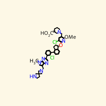 COc1nc(O[C@H]2CCc3c(-c4cccc(-c5cnc6c(CN7CC8(CCNC8)C7)cn(C)c6n5)c4Cl)cccc32)c(Cl)cc1CN1CCC[C@@H](C(=O)O)C1